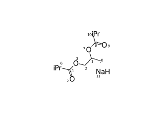 [CH2]C(COC(=O)C(C)C)OC(=O)C(C)C.[NaH]